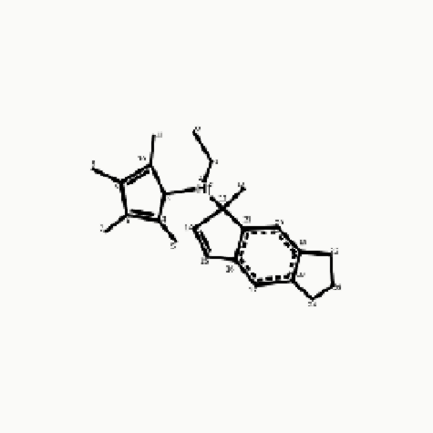 C[CH2][Hf]([CH]1C(C)=C(C)C(C)=C1C)[C]1(C)C=Cc2cc3c(cc21)CCC3